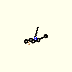 CCCCCCCCn1c2cc(C#Cc3ccccc3)ccc2c2ccc3c(ccc4c5ccccc5sc43)c21